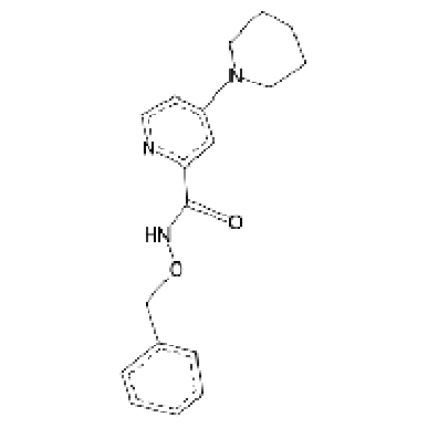 O=C(NOCc1ccccc1)c1cc(N2CCCCC2)ccn1